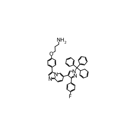 NCCCOc1ccc(-c2cnc3ccc(-c4cn(C(c5ccccc5)(c5ccccc5)C5C=CC=CC5)nc4-c4ccc(F)cc4)cn23)cc1